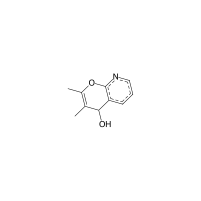 CC1=C(C)C(O)c2cccnc2O1